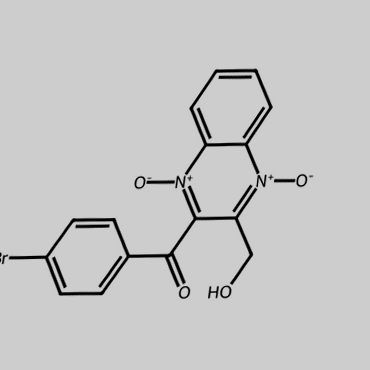 O=C(c1ccc(Br)cc1)c1c(CO)[n+]([O-])c2ccccc2[n+]1[O-]